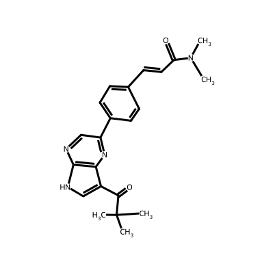 CN(C)C(=O)C=Cc1ccc(-c2cnc3[nH]cc(C(=O)C(C)(C)C)c3n2)cc1